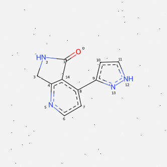 O=C1NCc2nccc(-c3cc[nH]n3)c21